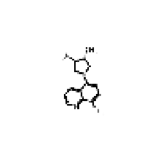 Cc1ccc(N2CC(N)[C@H](C)C2)c2cccnc12